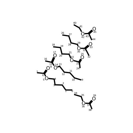 CCCCCOC(C)=O.CCCCCOC(C)=O.CCCCOC(C)=O.CCCCOC(C)=O.CCOC(C)=O.CCOC(C)=O